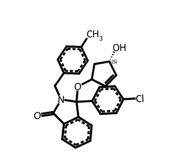 Cc1ccc(CN2C(=O)c3ccccc3C2(OC2C=C[C@@H](O)C2)c2ccc(Cl)cc2)cc1